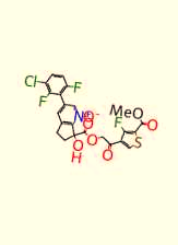 COC(=O)c1scc(C(=O)COC(=O)C2(O)CCc3cc(-c4c(F)ccc(Cl)c4F)c[n+]([O-])c32)c1F